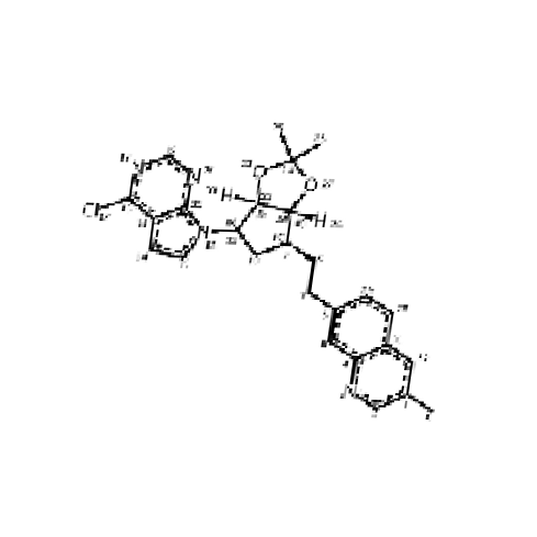 Cc1cnc2cc(CC[C@H]3C[C@@H](n4ccc5c(Cl)ncnc54)[C@@H]4OC(C)(C)O[C@H]34)ccc2c1